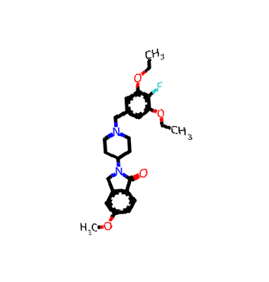 CCOc1cc(CN2CCC(N3Cc4cc(OC)ccc4C3=O)CC2)cc(OCC)c1F